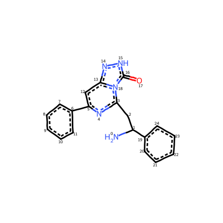 NC(Cc1nc(-c2ccccc2)cc2n[nH]c(=O)n12)c1ccccc1